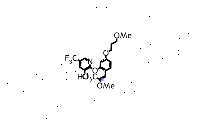 COCCCOc1ccc(/C=C(/OC)C(=O)O)c(Oc2ncc(C(F)(F)F)cc2Cl)c1